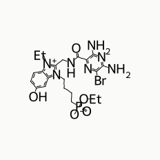 CCOP(=O)([O-])CCCCn1c(CNC(=O)c2nc(Br)c(N)nc2N)[n+](CC)c2ccc(O)cc21